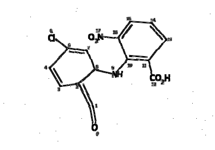 O=C=C1C=CC(Cl)=CC1Nc1c(C(=O)O)cccc1[N+](=O)[O-]